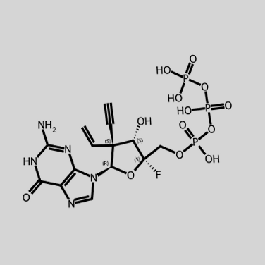 C#C[C@]1(C=C)[C@H](n2cnc3c(=O)[nH]c(N)nc32)O[C@](F)(COP(=O)(O)OP(=O)(O)OP(=O)(O)O)[C@H]1O